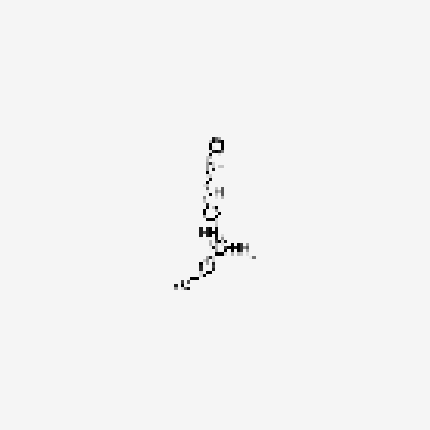 CCOCCN1CCN(c2cc(N)nc(NC[C@H]3CC[C@H](CNCCCNCc4ccccc4)CC3)n2)CC1